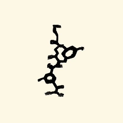 CCCN(CCC)C(=O)c1cc(C)cc(C(=O)NC(Cc2cc(F)cc(F)c2)C(O)CCNC(=O)CCOC)c1